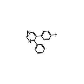 Fc1ccc(-c2cncnc2-c2ccccc2)cc1